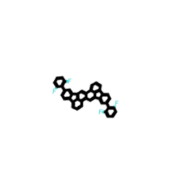 Fc1cccc(F)c1-c1ccc2c(c1)c1cc3c(cc4c5cc(-c6c(F)cccc6F)ccc5c5cccc3c54)c3cccc2c31